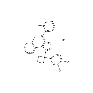 Br.Cc1ccccc1N=c1scc(C2(c3ccc(Cl)c(Cl)c3)CCC2)n1-c1ccccc1C